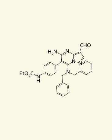 CCOC(=O)Nc1ccc(-c2c(N)nc3c(C=O)cnn3c2N(Cc2ccccc2)Cc2ccccc2)cc1